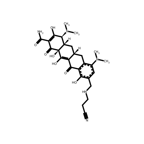 CN(C)c1cc(CNCCC#N)c(O)c2c1C[C@H]1C[C@H]3[C@H](N(C)C)C(O)=C(C(N)=O)C(=O)[C@@]3(O)C(O)=C1C2=O